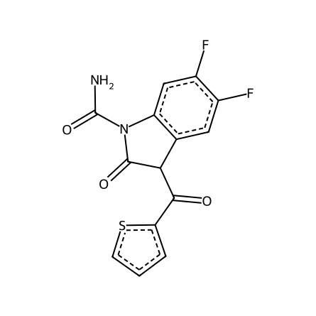 NC(=O)N1C(=O)C(C(=O)c2cccs2)c2cc(F)c(F)cc21